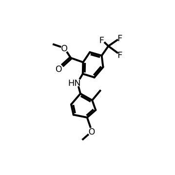 COC(=O)c1cc(C(F)(F)F)ccc1Nc1ccc(OC)cc1C